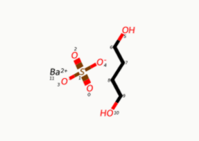 O=S(=O)([O-])[O-].OCCCCO.[Ba+2]